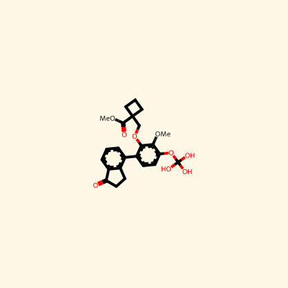 COC(=O)C1(COc2c(-c3cccc4c3CCC4=O)ccc(OC(O)(O)O)c2OC)CCC1